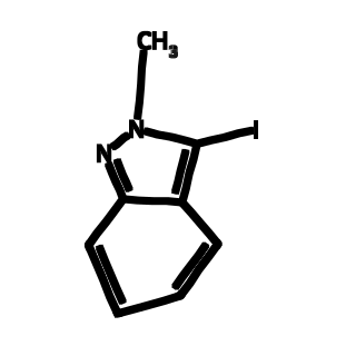 Cn1nc2ccccc2c1I